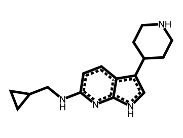 c1cc2c(C3CCNCC3)c[nH]c2nc1NCC1CC1